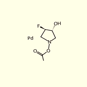 CC(=O)ON1C[C@@H](O)[C@H](F)C1.[Pd]